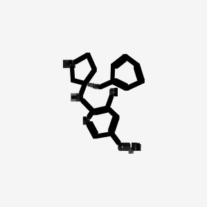 CCOC(=O)c1cnc(N[C@]2(Cc3ccccc3)CCNC2)c(Cl)c1